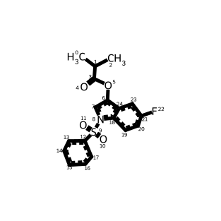 CC(C)C(=O)Oc1cn(S(=O)(=O)c2ccccc2)c2ccc(F)cc12